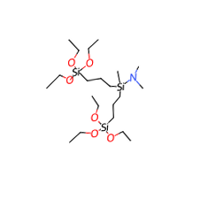 CCO[Si](CCC[Si](C)(CCC[Si](OCC)(OCC)OCC)N(C)C)(OCC)OCC